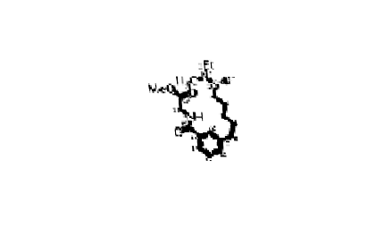 CCN(C)[S+]([O-])CCC/C=C\c1cccc(C(=O)NCC(=O)OC)c1